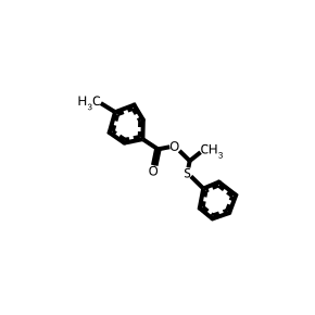 Cc1ccc(C(=O)OC(C)Sc2ccccc2)cc1